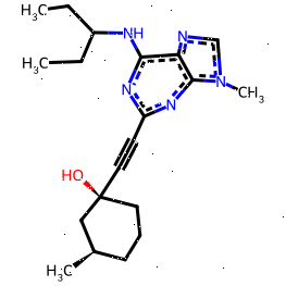 CCC(CC)Nc1nc(C#C[C@]2(O)CCC[C@@H](C)C2)nc2c1ncn2C